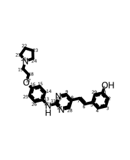 Oc1cccc(C=Cc2cnc(Nc3ccc(OCCN4CCCC4)cc3)nc2)c1